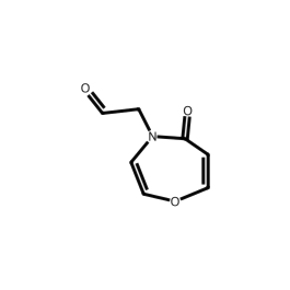 O=CCN1C=COC=CC1=O